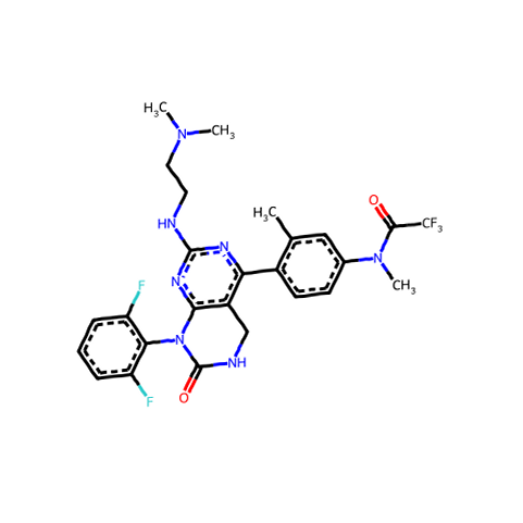 Cc1cc(N(C)C(=O)C(F)(F)F)ccc1-c1nc(NCCN(C)C)nc2c1CNC(=O)N2c1c(F)cccc1F